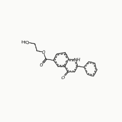 O=C(OCCO)c1ccc2[nH]c(-c3ccccc3)cc(=O)c2c1